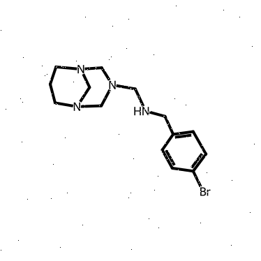 Brc1ccc(CNCN2CN3CCCN(C3)C2)cc1